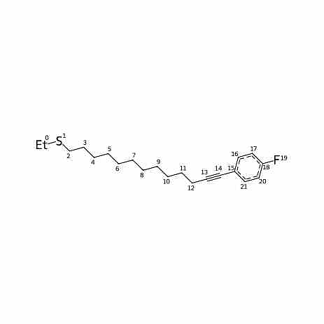 CCSCCCCCCCCCCCC#Cc1ccc(F)cc1